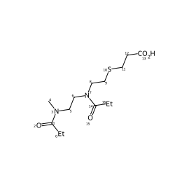 CCC(=O)N(C)CCN(CCSCCC(=O)O)C(=O)CC